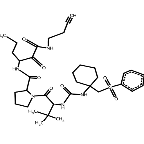 C#CCCNC(=O)C(=O)C(CCC)NC(=O)C1CCCN1C(=O)[C@@H](NC(=O)NC1(CS(=O)(=O)c2ccccc2)CCCCC1)C(C)(C)C